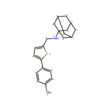 CC(C)(C)c1ccc(-c2ccc(CNC34CC5CC(CC(C5)C3)C4)s2)cc1